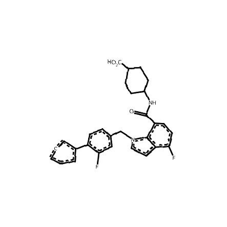 O=C(NC1CCC(C(=O)O)CC1)c1ccc(F)c2ccn(Cc3ccc(-c4ccccc4)c(F)c3)c12